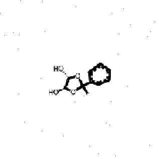 CC1(c2ccccc2)O[C@@H](O)[C@H](O)O1